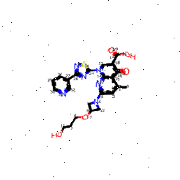 Cc1cc(N2CC(OCCCO)C2)nc2c1c(=O)c(C(=O)O)cn2-c1nc(-c2cccnc2)ns1